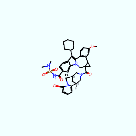 COc1ccc2c(c1)C1CC1(C(=O)N1C[C@H]3C[C@@H](C1)c1cccc(=O)n1C3)Cn1c-2c(C2CCCCC2)c2ccc(C(=O)NS(=O)(=O)N(C)C)cc21